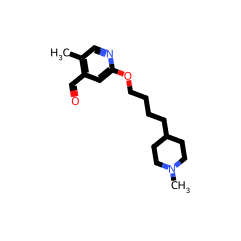 Cc1cnc(OCCCCC2CCN(C)CC2)cc1C=O